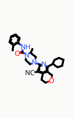 Cc1ccccc1NC(=O)N1CCN(c2nc(C3CCCCC3)c3c(c2C#N)CCOC3)CC1C